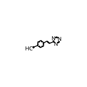 C#Cc1ccc(/C=C/c2ncncn2)cc1